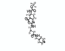 Cc1c(NC(=O)OC(C)(C)C)ccc2nc(NCC(C)CC(=O)NCc3ccncc3)oc(=O)c12